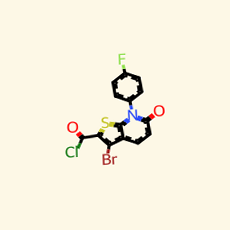 O=C(Cl)c1sc2c(ccc(=O)n2-c2ccc(F)cc2)c1Br